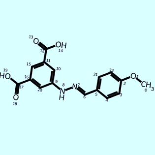 COc1ccc(C=NNc2cc(C(=O)O)cc(C(=O)O)c2)cc1